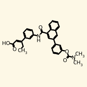 CC/C(=C\C(=O)O)c1cccc(NC(=O)c2cc(-c3cccc(OC(=O)N(C)C)c3)cc3ccccc23)c1